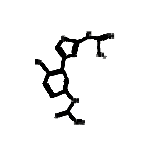 CNC(=S)Nc1ccc(Br)c(-c2csc(NC(=N)N)n2)c1